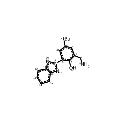 CC(C)(C)c1cc(CN)c(O)c(-n2nc3ccccc3n2)c1